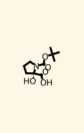 CC(C)(C)OC(=O)N1CCC[C@]1(O)C(=O)O